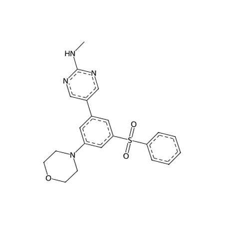 CNc1ncc(-c2cc(N3CCOCC3)cc(S(=O)(=O)c3ccccc3)c2)cn1